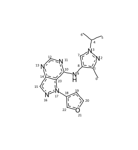 Cc1nn(C(C)C)cc1Nc1ncnc2cnn(-c3ccoc3)c12